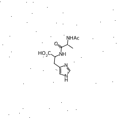 CC(=O)NC(C)C(=O)NC(Cc1c[nH]cn1)C(=O)O